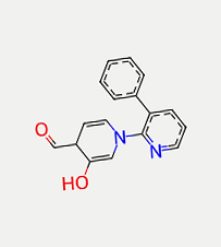 O=CC1C=CN(c2ncccc2-c2ccccc2)C=C1O